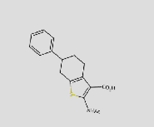 CC(=O)Nc1sc2c(c1C(=O)O)CCC(c1ccccc1)C2